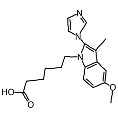 COc1ccc2c(c1)c(C)c(-n1ccnc1)n2CCCCCC(=O)O